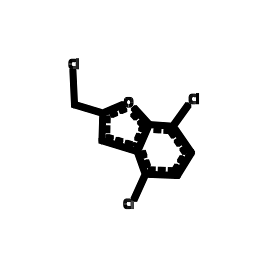 ClCc1cc2c(Cl)ccc(Cl)c2o1